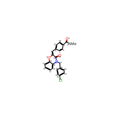 CNC(=O)c1ccc(C=C2Oc3ccccc3N(Cc3ccc(Cl)cc3)C2=O)cc1